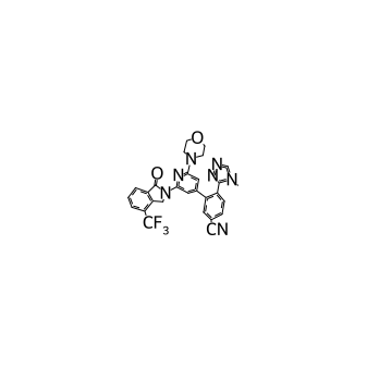 Cn1cnnc1-c1ccc(C#N)cc1-c1cc(N2CCOCC2)nc(N2Cc3c(cccc3C(F)(F)F)C2=O)c1